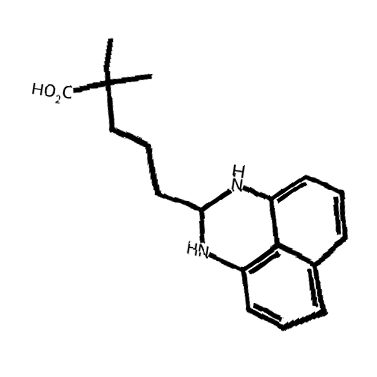 CC(C)(CCCC1Nc2cccc3cccc(c23)N1)C(=O)O